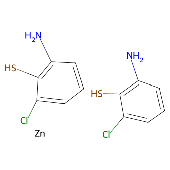 Nc1cccc(Cl)c1S.Nc1cccc(Cl)c1S.[Zn]